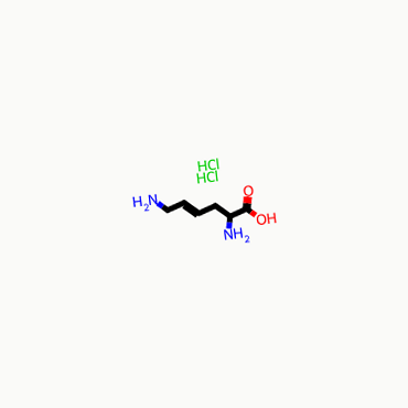 Cl.Cl.NCC=CCC(N)C(=O)O